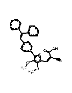 COc1c(/C=C(/C#N)C(=O)O)sc(-c2ccc(C=C(c3ccccc3)c3ccccc3)cc2)c1OC